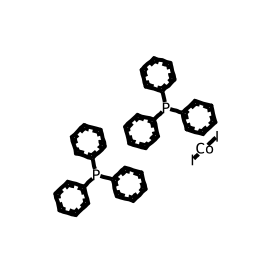 [I][Co][I].c1ccc(P(c2ccccc2)c2ccccc2)cc1.c1ccc(P(c2ccccc2)c2ccccc2)cc1